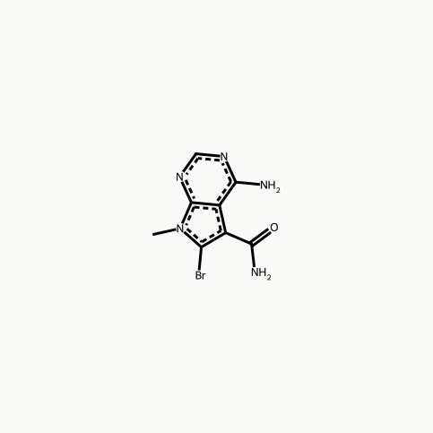 Cn1c(Br)c(C(N)=O)c2c(N)ncnc21